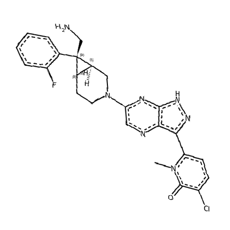 Cn1c(-c2n[nH]c3nc(N4CC[C@@H]5[C@H](C4)[C@@]5(CN)c4ccccc4F)cnc23)ccc(Cl)c1=O